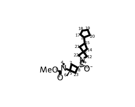 COC(=O)N(C)[C@]1(C)C[C@H]([S+]([O-])N2CC3(CC(C4CCCC4)C3)C2)C1